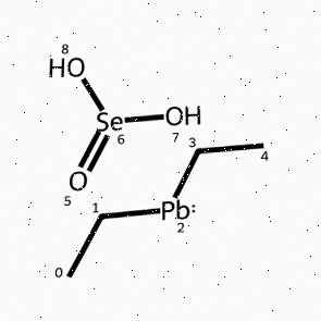 C[CH2][Pb][CH2]C.O=[Se](O)O